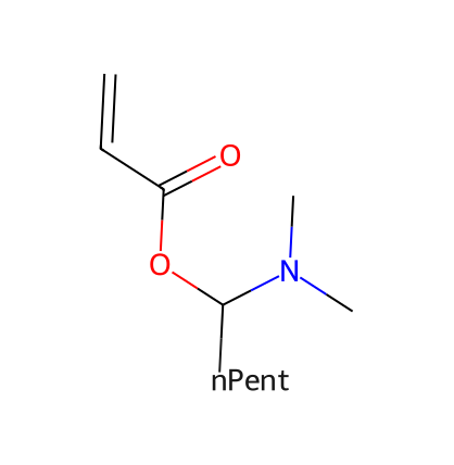 C=CC(=O)OC(CCCCC)N(C)C